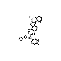 Cc1cnc(NC(=O)[C@H](COC2CCC2)Oc2ncnc3c2cnn3-c2ncccc2C(F)(F)F)cn1